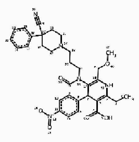 CCC1=C(C(=O)O)C(c2ccc([N+](=O)[O-])cc2)C(N(C=O)CCCN2CCC(C#N)(c3ccccc3)CC2)=C(COC)N1